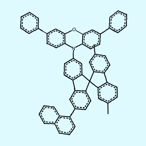 Cc1ccc2c(c1)C1(c3ccc(-c4cccc5ccccc45)cc3-c3ccc(N4c5ccc(-c6ccccc6)cc5Oc5cc(-c6ccccc6)ccc54)cc31)c1cc(C)ccc1-2